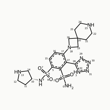 NS(=O)(=O)c1c(S(=O)(=O)N[C@@H]2CCNC2)ccc(N2CC3(CCNCC3)C2)c1-c1nnn[nH]1